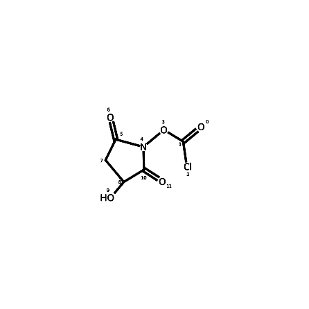 O=C(Cl)ON1C(=O)CC(O)C1=O